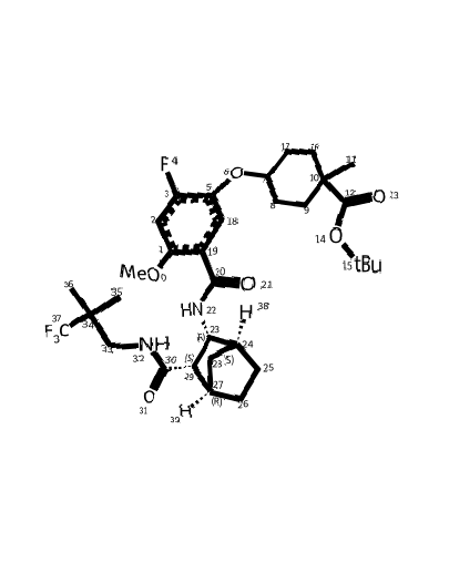 COc1cc(F)c(OC2CCC(C)(C(=O)OC(C)(C)C)CC2)cc1C(=O)N[C@@H]1[C@H]2CC[C@H](C2)[C@@H]1C(=O)NCC(C)(C)C(F)(F)F